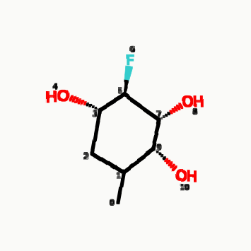 CC1C[C@H](O)[C@@H](F)[C@H](O)[C@@H]1O